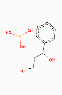 OCCC(O)c1ccccc1.OP(O)O